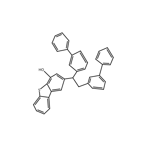 Oc1cc(C(Cc2cccc(-c3ccccc3)c2)c2cccc(-c3ccccc3)c2)cc2c1sc1ccccc12